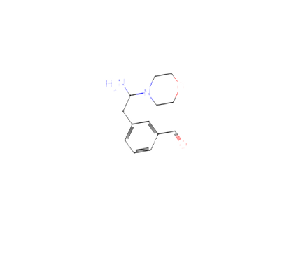 NC(Cc1cccc([C]=O)c1)N1CCOCC1